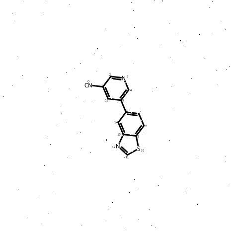 [C-]#[N+]c1cncc(-c2ccc3scnc3c2)c1